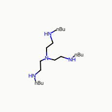 CCCCNCCN(CCNCCCC)CCNCCCC